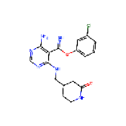 N=C(Oc1cccc(Cl)c1)c1c(N)ncnc1NCC1CCNC(=O)C1